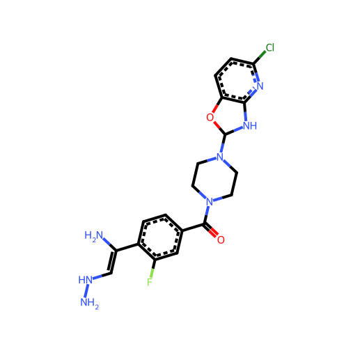 NN/C=C(\N)c1ccc(C(=O)N2CCN(C3Nc4nc(Cl)ccc4O3)CC2)cc1F